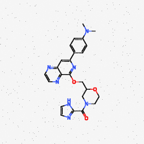 CN(C)c1ccc(-c2cc3nccnc3c(OCC3CN(C(=O)c4ncc[nH]4)CCO3)n2)cc1